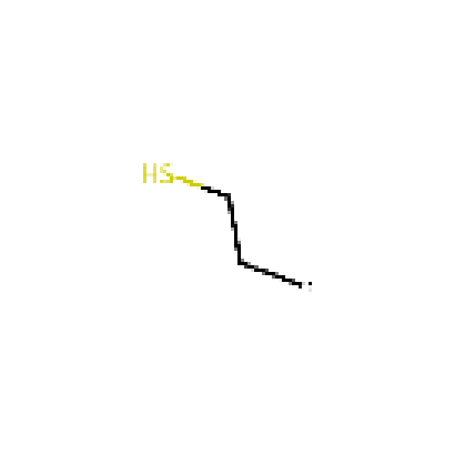 [CH]CCS